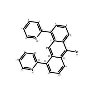 Brc1c2cccc(-c3ccccn3)c2cc2c(-c3ccccn3)cccc12